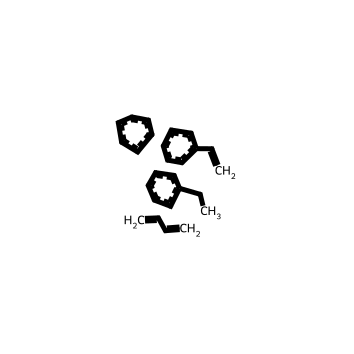 C=CC=C.C=Cc1ccccc1.CCc1ccccc1.c1ccccc1